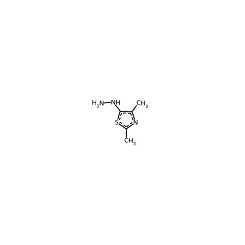 Cc1nc(C)c(NN)s1